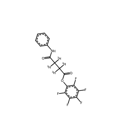 [2H]C([2H])(C(=O)Nc1ccccc1)C([2H])([2H])C(=O)Oc1c(F)c(F)c(F)c(F)c1F